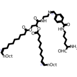 CCCCCCCC/C=C\CCCCCCCC(=O)OCC(OC(=O)CCCCCCC/C=C\CCCCCCCC)C(=O)NCC/N=C\c1ccc(C(=O)NCCCCC(N)C=O)cc1